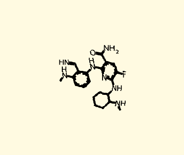 CNc1cccc(Nc2nc(NC3CCCCC3NC)c(F)cc2C(N)=O)c1C=N